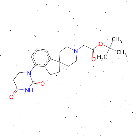 CC(C)(C)OC(=O)CN1CCC2(CCc3c(N4CCC(=O)NC4=O)cccc32)CC1